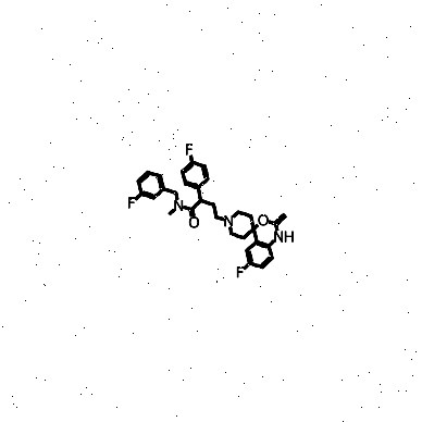 C=C1Nc2ccc(F)cc2C2(CCN(CCC(C(=O)N(C)Cc3cccc(F)c3)c3ccc(F)cc3)CC2)O1